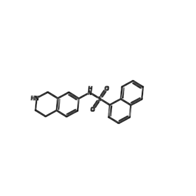 O=S(=O)(Nc1ccc2c(c1)CNCC2)c1cccc2ccccc12